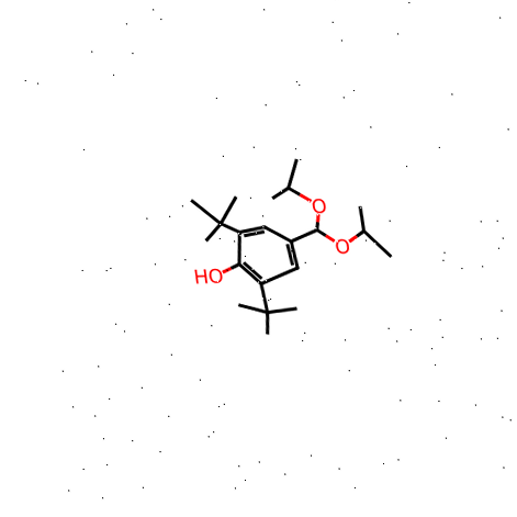 CC(C)OC(OC(C)C)c1cc(C(C)(C)C)c(O)c(C(C)(C)C)c1